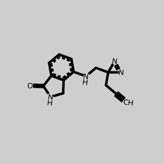 C#CCC1(CNc2cccc3c2CNC3=O)N=N1